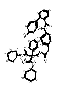 O=C(Cc1ccc(NC(=O)c2ccccc2-c2ccc(C(F)(F)F)cc2)cc1)OCC(C(=O)OC1CCCCC1)(C(=O)OC1CCCCC1)c1ccccc1